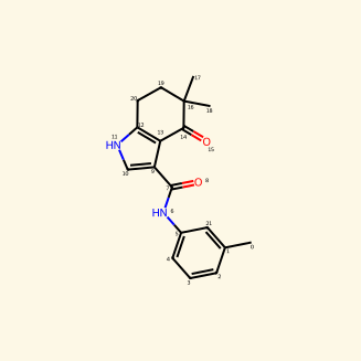 Cc1cccc(NC(=O)c2c[nH]c3c2C(=O)C(C)(C)CC3)c1